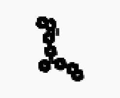 c1ccc(N(c2ccc(-c3ccc4ccccc4c3)cc2)c2ccc(-c3ccc4c(c3)oc3ccc5ccccc5c34)cc2)cc1